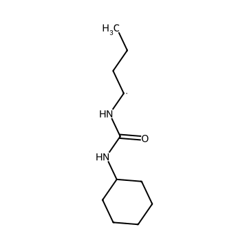 CCC[CH]NC(=O)NC1CCCCC1